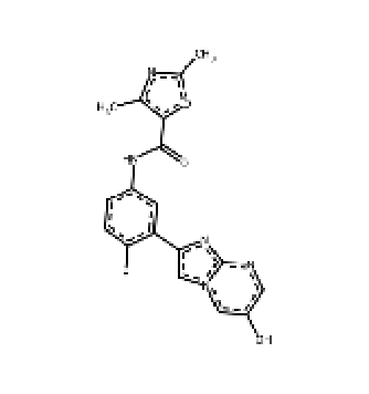 Cc1nc(C)c(C(=O)Nc2ccc(F)c(-c3cn4cc(O)cnc4n3)c2)o1